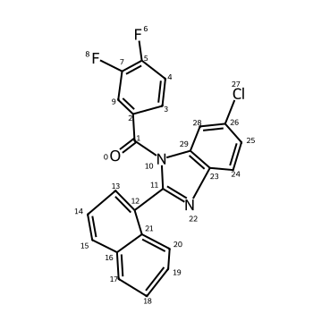 O=C(c1ccc(F)c(F)c1)n1c(-c2cccc3ccccc23)nc2ccc(Cl)cc21